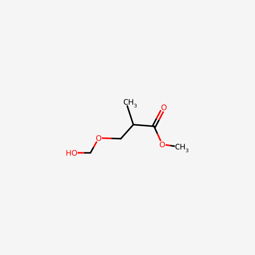 COC(=O)C(C)COCO